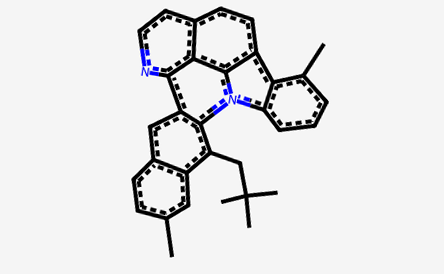 Cc1ccc2cc3c4nccc5ccc6c7c(C)cccc7n(c3c(CC(C)(C)C)c2c1)c6c54